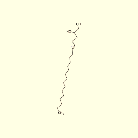 CCCCCCCCCCCCCCC/C=C/SCC(O)CO